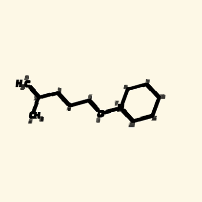 CC(C)CCCON1CCCCC1